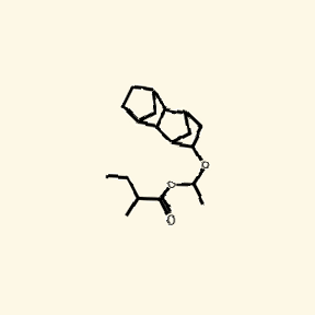 CCC(C)C(=O)OC(C)OC1CC2CC1C1C3CCC(C3)C21